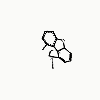 Cc1cccc2c1[C@]13CCC[C@H](C)C1=CC=CC3O2